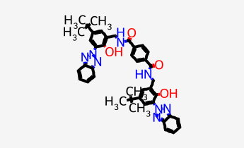 CC(C)(C)c1cc(CNC(=O)c2ccc(C(=O)NCc3cc(C(C)(C)C)cc(-n4nc5ccccc5n4)c3O)cc2)c(O)c(-n2nc3ccccc3n2)c1